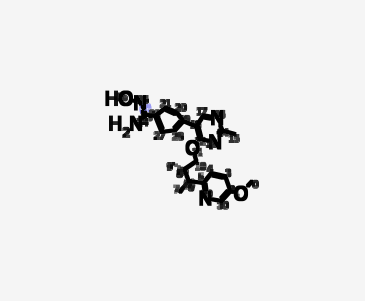 COc1ccc([C@@H](C)[C@H](C)COc2nc(C)ncc2-c2ccc(/C(N)=N/O)cc2)nc1